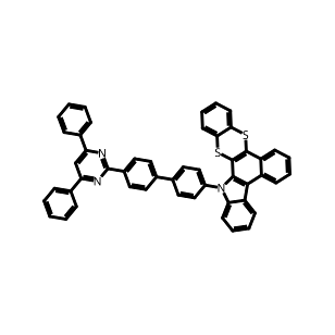 c1ccc(-c2cc(-c3ccccc3)nc(-c3ccc(-c4ccc(-n5c6ccccc6c6c7ccccc7c7c(c65)Sc5ccccc5S7)cc4)cc3)n2)cc1